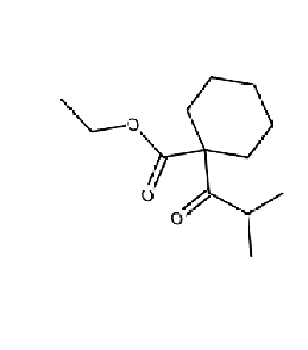 CCOC(=O)C1(C(=O)C(C)C)CCCCC1